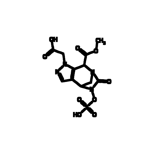 COC(=O)C1c2c(cnn2CC(=O)O)C2CN1C(=O)N2OS(=O)(=O)O